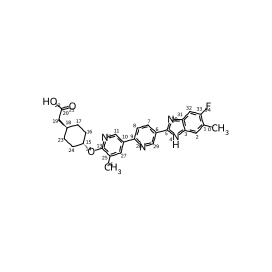 Cc1cc2[nH]c(-c3ccc(-c4cnc(O[C@H]5CC[C@H](CC(=O)O)CC5)c(C)c4)nc3)nc2cc1F